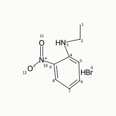 Br.CCNc1ccccc1[N+](=O)[O-]